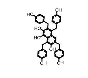 Oc1ccc(Cc2cc3c(Cc4ccc(O)cc4)c(Cc4ccc(O)cc4)c(O)c(O)c3c(Cc3ccc(O)cc3)c2O)cc1